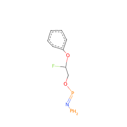 FC(COP=NP)Oc1ccccc1